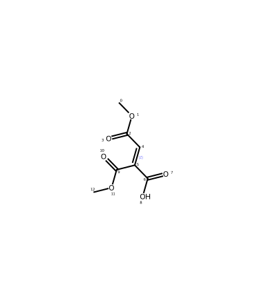 COC(=O)/C=C(/C(=O)O)C(=O)OC